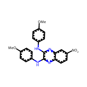 COc1ccc(Nc2nc3ccc([N+](=O)[O-])cc3nc2Nc2ccc(OC)cc2)cc1